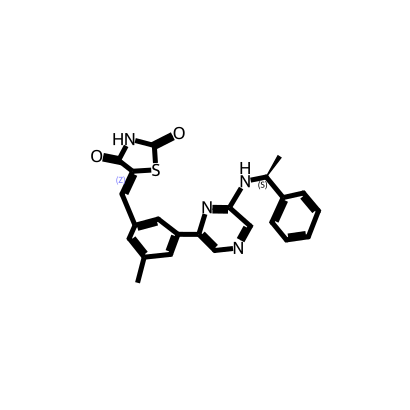 Cc1cc(/C=C2\SC(=O)NC2=O)cc(-c2cncc(N[C@@H](C)c3ccccc3)n2)c1